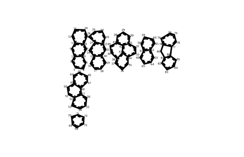 [c]1c2ccccc2cc2ccccc12.[c]1c2ccccc2cc2ccccc12.[c]1ccc2ccc3cccc4ccc1c2c43.[c]1cccc2c1ccc1ccccc12.[c]1cccc2ccccc12.[c]1ccccc1.c1ccc2c(c1)Cc1ccccc1-2